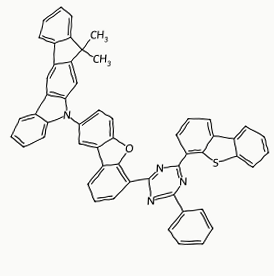 CC1(C)c2ccccc2-c2cc3c4ccccc4n(-c4ccc5oc6c(-c7nc(-c8ccccc8)nc(-c8cccc9c8sc8ccccc89)n7)cccc6c5c4)c3cc21